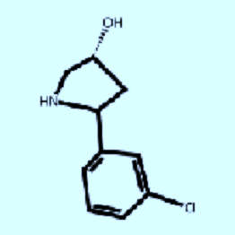 O[C@H]1CNC(c2cccc(Cl)c2)C1